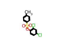 Cc1ccc(S(=O)(=O)Oc2ccc(Cl)cc2Cl)cc1